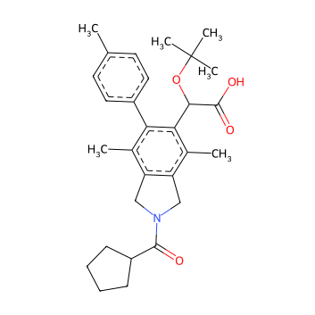 Cc1ccc(-c2c(C)c3c(c(C)c2C(OC(C)(C)C)C(=O)O)CN(C(=O)C2CCCC2)C3)cc1